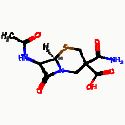 CC(=O)NC1C(=O)N2CC(C(N)=O)(C(=O)O)CS[C@H]12